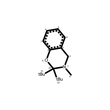 CN1Cc2ccccc2OC1(C(C)(C)C)C(C)(C)C